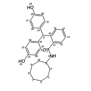 O=C(NC1CCCCCCC1)c1ccccc1C(c1ccc(O)cc1)c1ccc(O)cc1